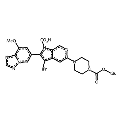 COc1cc(-c2c(C(C)C)c3cc(N4CCN(C(=O)OC(C)(C)C)CC4)ncc3n2C(=O)O)cn2ncnc12